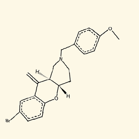 C=C1c2cc(Br)ccc2O[C@H]2CCN(Cc3ccc(OC)cc3)C[C@H]12